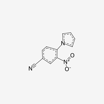 N#Cc1ccc(-n2cccc2)c([N+](=O)[O-])c1